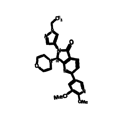 COc1cc(-c2ccc3c(n2)[C@@H](N2CCOCC2)N(c2cnn(CC(F)(F)F)c2)C3=O)cnc1OC